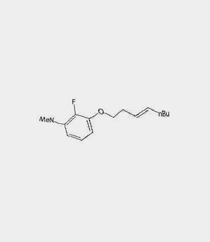 CCCC/C=C/CCOc1cccc(NC)c1F